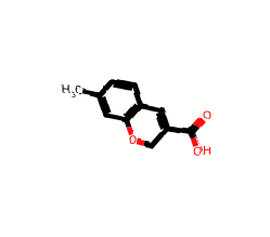 Cc1ccc2c(c1)OCC(C(=O)O)=C2